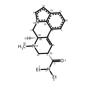 CCN(CC)C(=O)[C@H]1C=C2c3cccc4ccn(c34)C[C@@H]2N(C)C1